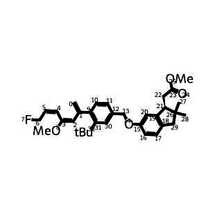 C=C(/C=C(\C=C/CF)OC)c1ccc(COc2ccc3c(c2)[C@@H](CC(=O)OC)C(C)(C)C3)cc1C(C)(C)C